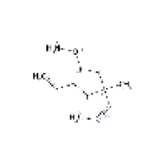 C=CCCC(C)(/C=C\C)CCON